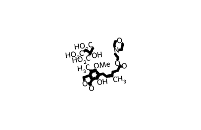 COc1c(C)c2c(c(O)c1CC=C(C)CCC(=O)OCCN1CCOCC1)C(=O)OC2.O=C(O)CC(O)(CC(=O)O)C(=O)O